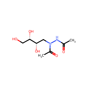 CC(=O)NN(C[C@H](O)[C@@H](O)CO)C(C)=O